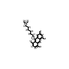 Cc1cc(C)c2cc3c(C)ccc(C)c3c(OCCCCCCN(C)C)c2c1